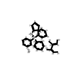 C1=CCC(N=P(c2ccccc2)(c2ccccc2)c2ccccc2)=C1.CC=C(C)C(C)=CC.[Ti]